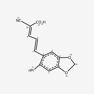 CCCc1cc2c(cc1C=CC=C(C#N)C(=O)O)OCO2